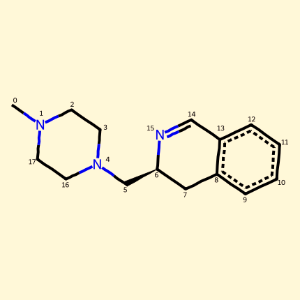 CN1CCN(C[C@@H]2Cc3ccccc3C=N2)CC1